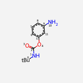 CC(C)(C)NC(=O)Oc1cccc(N)c1